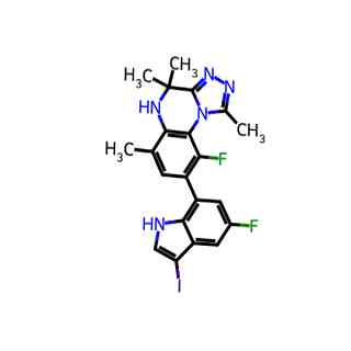 Cc1cc(-c2cc(F)cc3c(I)c[nH]c23)c(F)c2c1NC(C)(C)c1nnc(C)n1-2